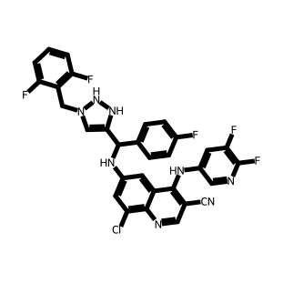 N#Cc1cnc2c(Cl)cc(NC(C3=CN(Cc4c(F)cccc4F)NN3)c3ccc(F)cc3)cc2c1Nc1cnc(F)c(F)c1